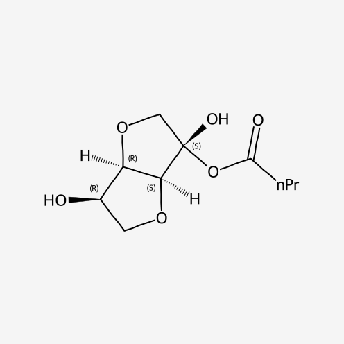 CCCC(=O)O[C@@]1(O)CO[C@@H]2[C@H](O)CO[C@@H]21